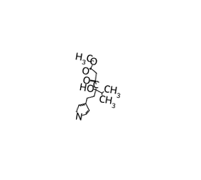 COC(=O)CC(=O)CC(O)(CCc1ccncc1)C(C)C